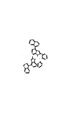 CC1=Cc2c(-c3cccc4ccccc34)cccc2[CH]1[Zr]([CH]1C(C)=Cc2c(-c3cccc4ccccc34)cccc21)=[Si](c1ccccc1)c1ccccc1.Cl.Cl